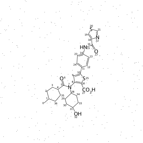 CC1CCC(C(=O)N(c2cc(-c3ccc(NC(=O)c4cscn4)cc3)sc2C(=O)O)C2CCC(O)CC2)CC1